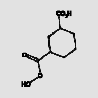 O=C(O)C1CCCC(C(=O)OO)C1